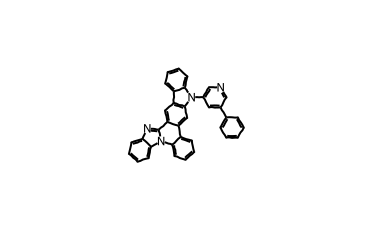 c1ccc(-c2cncc(-n3c4ccccc4c4cc5c(cc43)c3ccccc3n3c4ccccc4nc53)c2)cc1